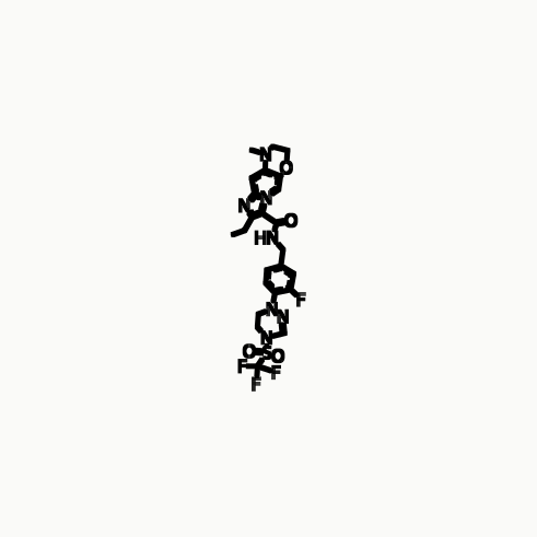 CCc1nc2cc3c(cn2c1C(=O)NCc1ccc(N2CCN(S(=O)(=O)C(F)(F)F)C=N2)c(F)c1)OCCN3C